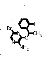 CC(Oc1nc(Br)cnc1N)c1ccccc1I